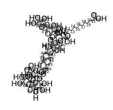 CC1O[C@@H](OC2C(O)[C@@H](NC(=O)CCCCCCCCCCC(=O)O)C(CO)O[C@@H]2OC(=O)N[C@@]2(CCC(C)(C)C)C(O)CC3(C)C(=CCC4C5(C)CC[C@H](O[C@@H]6OC(C(=O)O)[C@@H](O)C(O[C@@H]7OC[C@@H](O)C(O)C7O)C6O[C@@H]6OC(CO)[C@H](O)C(O)C6O)C(C)(C=O)C5CCC43C)C2I)C(CO)C(O)[C@H]1O[C@@H]1OC[C@@H](O)C(O)C1O